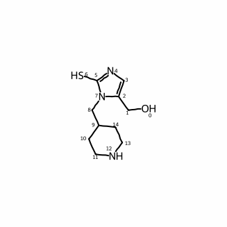 OCc1cnc(S)n1CC1CCNCC1